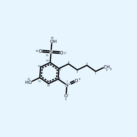 CCCCCc1c([N+](=O)[O-])cc(O)cc1S(=O)(=O)O